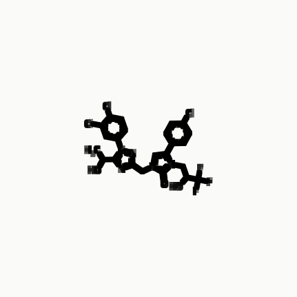 CC(O)c1nc(Cn2cc(-c3ccc(Cl)cc3)n(CC(O)C(F)(F)F)c2=O)nn1-c1ccc(Cl)c(Cl)c1